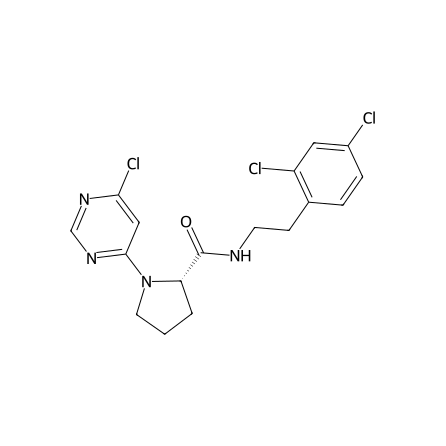 O=C(NCCc1ccc(Cl)cc1Cl)[C@@H]1CCCN1c1cc(Cl)ncn1